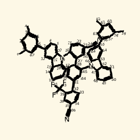 Cc1cc(C)cc(-c2ccc3c(c2)c2ccccc2n3-c2ccc(C#N)cc2-c2ccc(-c3ccc(C#N)cc3C(F)(F)F)cc2-n2c3ccccc3c3cc(-c4cc(C)cc(C)c4)ccc32)c1